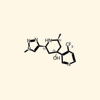 C[C@H]1C[C@@](O)(c2cnccc2C(F)(F)F)C[C@@H](c2cn(C)nn2)N1